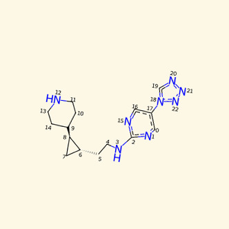 c1nc(NCC[C@@H]2C[C@H]2C2CCNCC2)ncc1-n1cnnn1